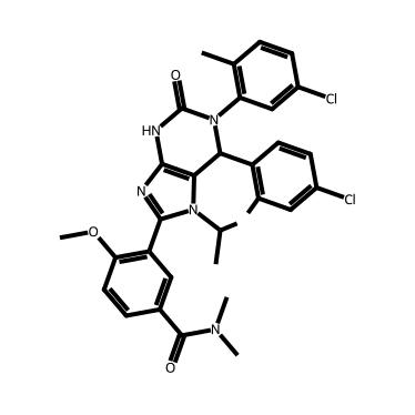 COc1ccc(C(=O)N(C)C)cc1-c1nc2c(n1C(C)C)C(c1ccc(Cl)cc1C)N(c1cc(Cl)ccc1C)C(=O)N2